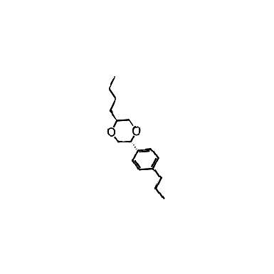 CCCC[C@H]1CO[C@H](c2ccc(CCC)cc2)CO1